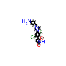 NC1CCC(CN2CCN(c3cc(Cl)c(C4CCC(=O)NC4=O)cc3F)CC2)CC1